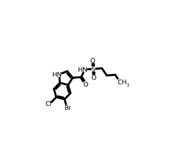 CCCCS(=O)(=O)NC(=O)c1c[nH]c2cc(Cl)c(Br)cc12